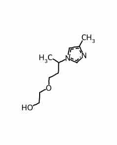 Cc1cn(C(C)CCOCCO)cn1